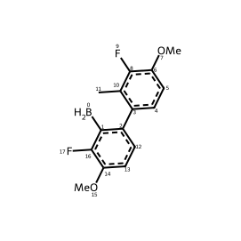 Bc1c(-c2ccc(OC)c(F)c2C)ccc(OC)c1F